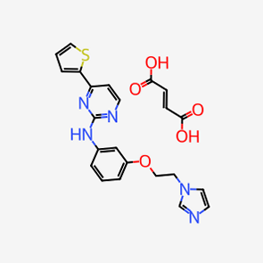 O=C(O)/C=C/C(=O)O.c1cc(Nc2nccc(-c3cccs3)n2)cc(OCCn2ccnc2)c1